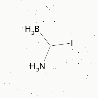 BC(N)I